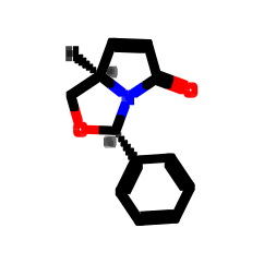 O=C1C=C[C@@H]2CO[C@@H](c3ccccc3)N12